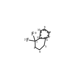 FC1(F)CCCc2ccccc21